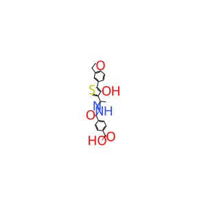 C/C(=N\NC(=O)c1ccc(C(=O)O)cc1)c1csc(-c2ccc3c(c2)CCO3)c1O